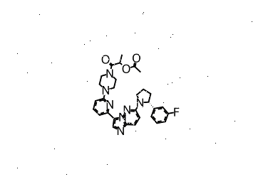 CC(=O)OC(C)C(=O)N1CCN(c2cccc(-c3cnc4ccc(N5CCC[C@@H]5c5cccc(F)c5)nn34)n2)CC1